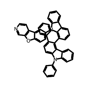 c1ccc(-c2ccc3c(c2-c2cccc4c5ccccc5n(-c5ccc6oc7cnccc7c6c5)c24)c2ccccc2n3-c2ccccc2)cc1